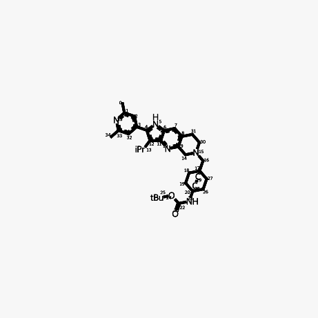 Cc1cc(-c2[nH]c3cc4c(nc3c2C(C)C)CN(CC23CCC(NC(=O)OC(C)(C)C)(CC2)CC3)CC4)cc(C)n1